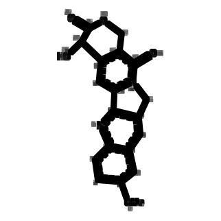 COc1ccc2nc3c(cc2c1)Cn1c-3cc2c(c1=O)COC(=O)C2O